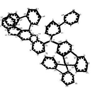 c1ccc(-c2cccc(N(c3ccc4c(c3)C3(c5ccccc5-c5ccccc53)c3ccccc3-4)c3cccc4c3oc3c(-c5ccccc5-c5ccccc5)c5c(cc34)oc3ccccc35)c2)cc1